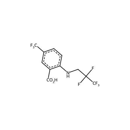 O=C(O)c1cc(C(F)(F)F)ccc1NCC(F)(F)C(F)(F)F